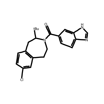 CC(C)(C)C1Cc2ccc(Cl)cc2CCN1C(=O)c1ccc2nc[nH]c2c1